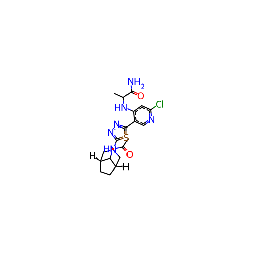 CC(=O)NC1[C@@H]2CC[C@H]1CN(c1nnc(-c3cnc(Cl)cc3NC(C)C(N)=O)s1)C2